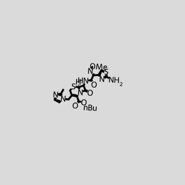 CCCCOC(=O)C1=C(Cn2ccnc2C)CS[C@H]2C(NC(=O)C(=NOC)c3csc(N)n3)C(=O)N12